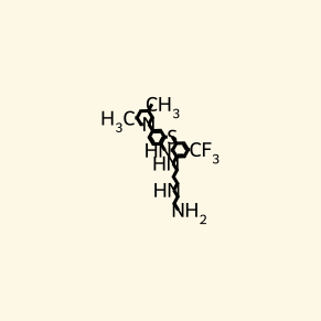 CC1CC(C)CN(c2ccc3c(c2)SC2C=C(C(F)(F)F)C=C(NCCCNCCN)C2N3)C1